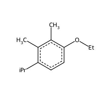 CCOc1ccc(C(C)C)c(C)c1C